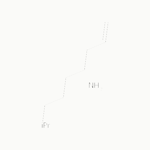 C=CCCCCCC(C)C.N